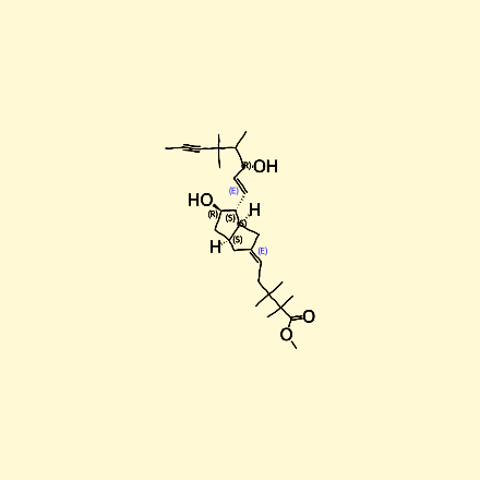 CC#CC(C)(C)C(C)[C@H](O)/C=C/[C@@H]1[C@H]2C/C(=C/CC(C)(C)C(C)(C)C(=O)OC)C[C@H]2C[C@H]1O